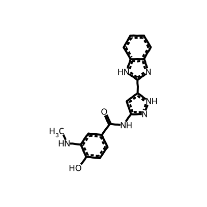 CNc1cc(C(=O)Nc2cc(-c3nc4ccccc4[nH]3)[nH]n2)ccc1O